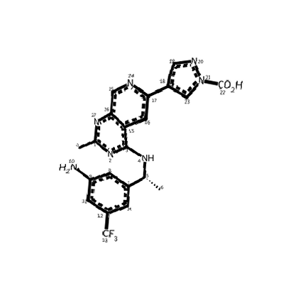 Cc1nc(N[C@H](C)c2cc(N)cc(C(F)(F)F)c2)c2cc(-c3cnn(C(=O)O)c3)ncc2n1